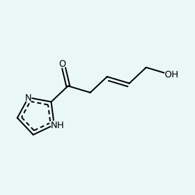 O=C(CC=CCO)c1ncc[nH]1